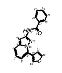 O=C(Nc1nc2cccc(-c3ccoc3)n2n1)c1ccccc1